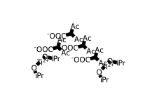 CC(=O)C(C(C)=O)C(=O)[O-].CC(=O)C(C(C)=O)C(=O)[O-].CC(=O)C(C(C)=O)C(=O)[O-].CC(=O)C(C(C)=O)C(=O)[O-].CC(C)[O][Ti+2][O]C(C)C.CC(C)[O][Ti+2][O]C(C)C